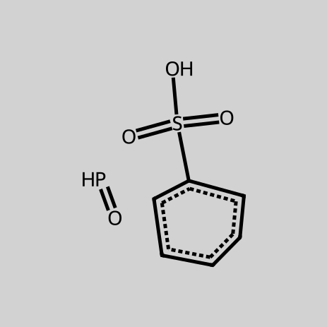 O=P.O=S(=O)(O)c1ccccc1